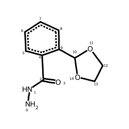 NNC(=O)c1ccccc1C1OCCO1